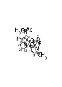 CC(=O)N(C)C1CC(C(=O)Nc2ccc(C)nc2OC(F)F)(c2ccccc2C(C)C)C1